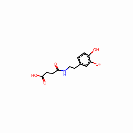 O=C(O)CCC(=O)NCCc1ccc(O)c(O)c1